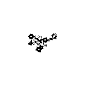 O=C(N[C@@H](Cc1ccccc1)[C@@H](O)C[C@@H](Cc1ccc(OCCN2CCOCC2)cc1)C(=O)N[C@H]1c2ccccc2C[C@H]1O)O[C@@H]1CCOC1